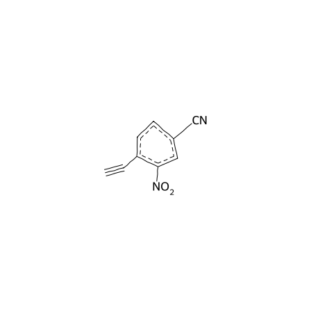 C#Cc1ccc(C#N)cc1[N+](=O)[O-]